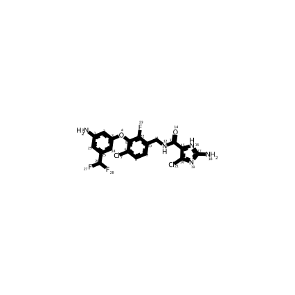 Nc1cc(Oc2c(Cl)ccc(CNC(=O)c3[nH]c(N)nc3Cl)c2F)cc(C(F)F)c1